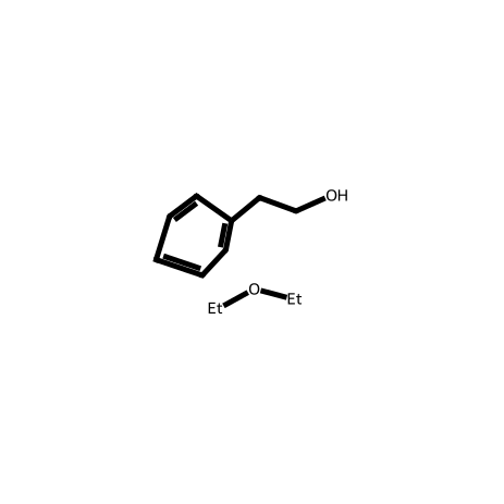 CCOCC.OCCc1ccccc1